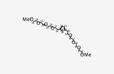 COCCOCCOCCOCCc1ccc(CCOCCOCCOCCOC)s1